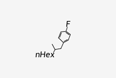 CCCCCCC(C)Cc1ccc(F)cc1